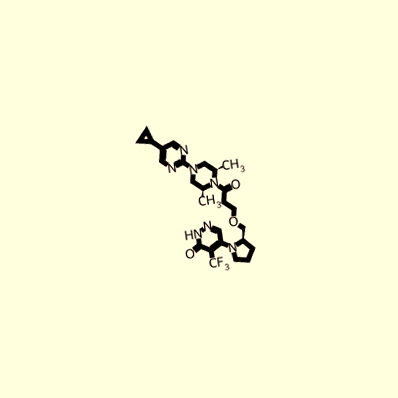 C[C@@H]1CN(c2ncc(C3CC3)cn2)C[C@H](C)N1C(=O)CCOC[C@H]1CCCN1c1cn[nH]c(=O)c1C(F)(F)F